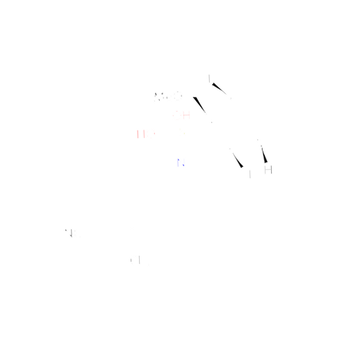 COC[C@@]12[C@@H]3C=C[C@@H](C3)[C@@H]1CN(c1ccc(C#N)c(C(F)(F)F)c1)S2(O)O